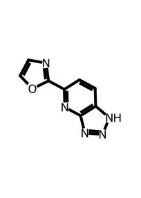 c1coc(-c2ccc3[nH]nnc3n2)n1